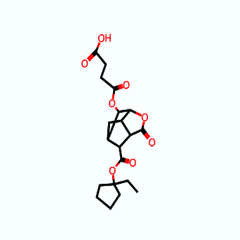 CCC1(OC(=O)C2C3CC4C(OC(=O)C42)C3OC(=O)CCC(=O)O)CCCC1